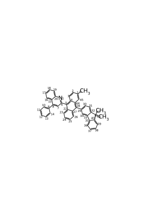 Cc1ccc2c(-c3cc(-c4ccccc4)c4ccccc4n3)c3ccccc3c(-c3ccc4c(c3)-c3ccccc3C4(C)C)c2c1